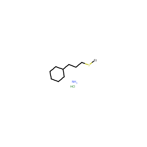 CCSCCCC1CCCCC1.Cl.N